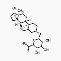 C[C@]12CC[C@H]3[C@@H](CCC4C[C@H](OC5O[C@H](C(=O)O)[C@@H](O)[C@H](O)[C@H]5O)CC[C@@]43C)[C@@H]1CC[C@@H]2O